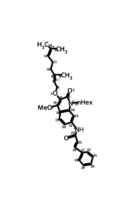 CCCCCCn1c(=O)c(OC/C=C(\C)CCC=C(C)C)c(OC)c2ccc(NC(=O)C=Cc3ccccc3)cc21